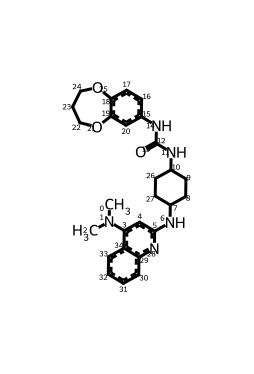 CN(C)c1cc(NC2CCC(NC(=O)Nc3ccc4c(c3)OCCCO4)CC2)nc2ccccc12